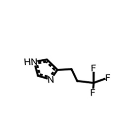 FC(F)(F)CCc1c[nH]cn1